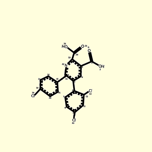 O=C(O)c1cc(-c2ccc(Cl)cc2Cl)c(-c2ccc(Cl)cc2)nc1C(=O)O